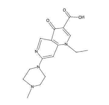 CCn1cc(C(=O)O)c(=O)c2cnc(N3CCN(C)CC3)cc21